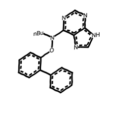 CCCCN(Oc1ccccc1-c1ccccc1)c1ncnc2[nH]cnc12